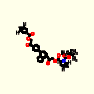 CC(C)(C)OC(=O)N1[C@@H]2C[C@@H]2C[C@H]1C(=O)OCC(=O)c1ccc(-c2ccc(C(=O)COC(=O)[C@H]3C[C@@H]4C[C@@H]4C3)cc2)c2c1CCC2